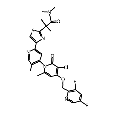 Cc1cnc(-c2csc(C(C)(C)C(=O)N(C)C)n2)cc1-n1c(C)cc(OCc2ncc(F)cc2F)c(Cl)c1=O